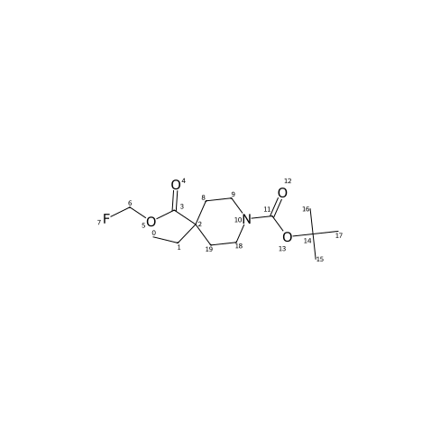 CCC1(C(=O)OCF)CCN(C(=O)OC(C)(C)C)CC1